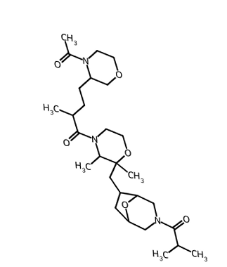 CC(=O)N1CCOCC1CCC(C)C(=O)N1CCOC(C)(CC2CC3CN(C(=O)C(C)C)CC2O3)C1C